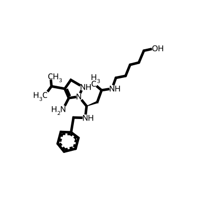 CC(C[C@@H](NCc1ccccc1)N1NCC(C(C)C)=C1N)NCCCCCO